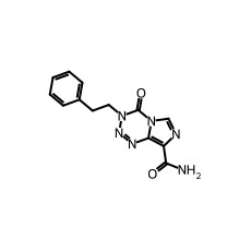 NC(=O)c1ncn2c(=O)n(CCc3ccccc3)nnc12